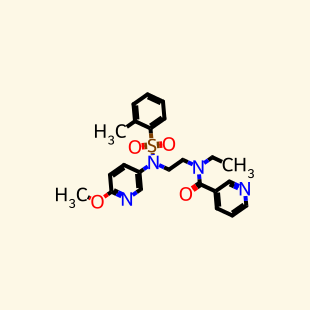 CCN(CCN(c1ccc(OC)nc1)S(=O)(=O)c1ccccc1C)C(=O)c1cccnc1